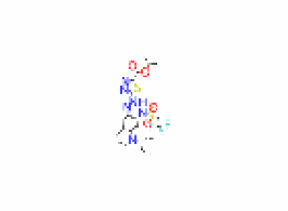 CCC(CC)N1CCCc2cc(N=Nc3nnc(C(=O)OC(C)C)s3)c(NS(=O)(=O)CC(F)(F)F)cc21